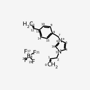 C=CCn1cc[n+](Cc2ccc(C=C)cc2)c1.F[B-](F)(F)F